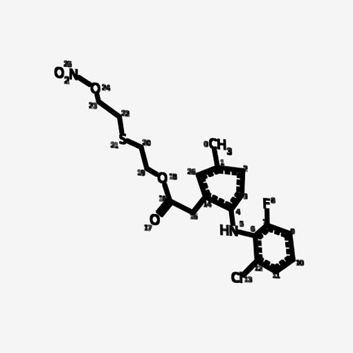 Cc1ccc(Nc2c(F)cccc2Cl)c(CC(=O)OCCSCCO[N+](=O)[O-])c1